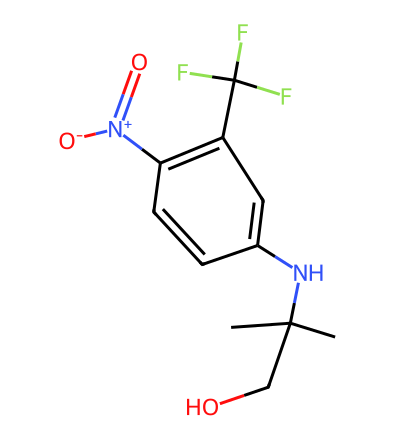 CC(C)(CO)Nc1ccc([N+](=O)[O-])c(C(F)(F)F)c1